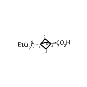 CCOC(=O)[C@]12C[C@@](C(=O)O)(C1)C2